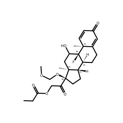 CCC(=O)OCC(=O)[C@@]1(OCOC)CC[C@H]2[C@@H]3CCC4=CC(=O)C=C[C@]4(C)[C@@]3(F)C(O)C[C@@]21C